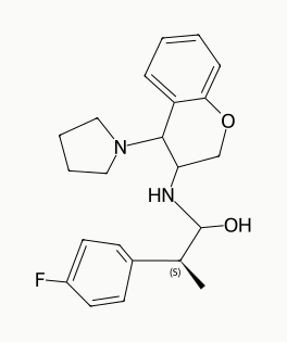 C[C@@H](c1ccc(F)cc1)C(O)NC1COc2ccccc2C1N1CCCC1